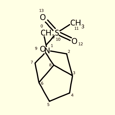 CN1CC2CCC(C1)C2OS(C)(=O)=O